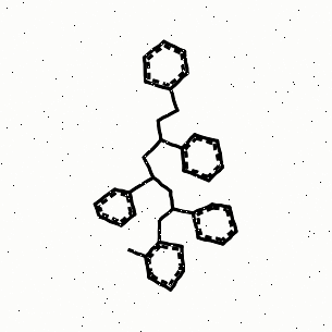 Cc1ccccc1CC(CC(CC(CCc1ccccc1)c1ccccc1)c1ccccc1)c1ccccc1